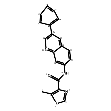 Cc1scnc1C(=O)Nc1ccc2cc(-c3ccccc3)cnc2c1